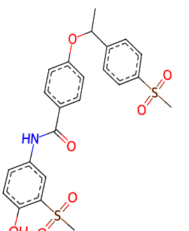 CC(Oc1ccc(C(=O)Nc2ccc(O)c(S(C)(=O)=O)c2)cc1)c1ccc(S(C)(=O)=O)cc1